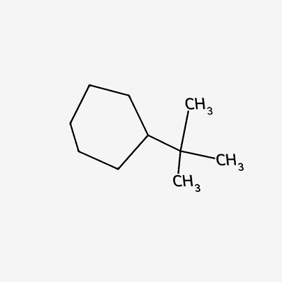 CC(C)(C)C1CCCCC1